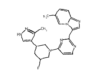 Cc1n[nH]cc1C1CC(F)CN(c2ccnc(-c3cnc4ccc(C(F)(F)F)cn34)n2)C1